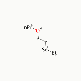 [CH2]C[Se]CCOC[CH]C